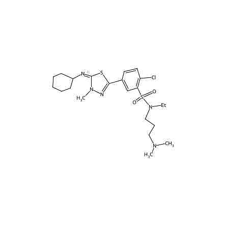 CCN(CCCN(C)C)S(=O)(=O)c1cc(-c2nn(C)/c(=N\C3CCCCC3)s2)ccc1Cl